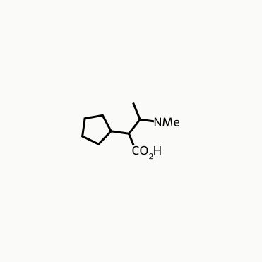 CNC(C)C(C(=O)O)C1CCCC1